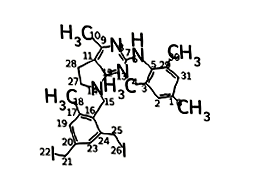 Cc1cc(C)c(Nc2nc(C)c3c(n2)N(Cc2c(C)cc(CI)cc2CI)CC3)c(C)c1